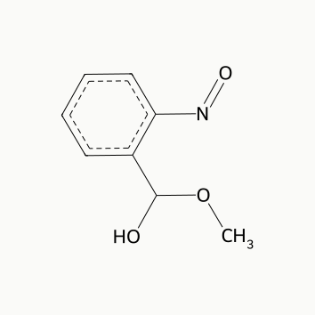 COC(O)c1ccccc1N=O